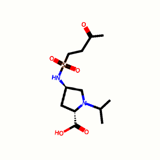 CC(=O)CCS(=O)(=O)N[C@@H]1C[C@@H](C(=O)O)N(C(C)C)C1